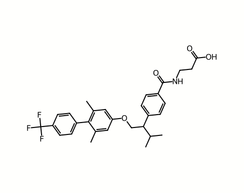 Cc1cc(OCC(c2ccc(C(=O)NCCC(=O)O)cc2)C(C)C)cc(C)c1-c1ccc(C(F)(F)F)cc1